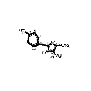 N#Cc1nc(-c2ccc(F)cc2)[nH]c1C#N